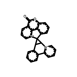 O=c1oc2cccc3c2c2c1ccc[n+]2C31C2c3ccccc3-c3cccc[n+]3C21